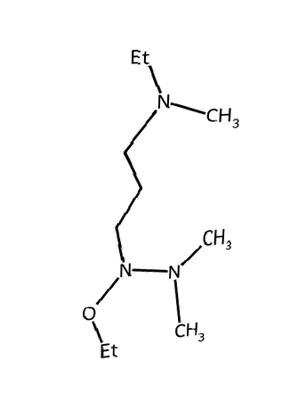 CCON(CCCN(C)CC)N(C)C